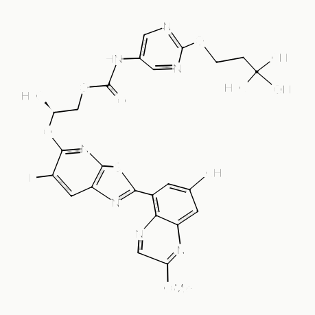 COc1cnc2c(-c3nc4cc(F)c(O[C@@H](C)COC(=O)Nc5cnc(OCCC(C)(C)O)nc5)nc4s3)cc(C)cc2n1